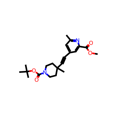 COC(=O)c1cc(C#CC2(C)CCN(C(=O)OC(C)(C)C)CC2)cc(C)n1